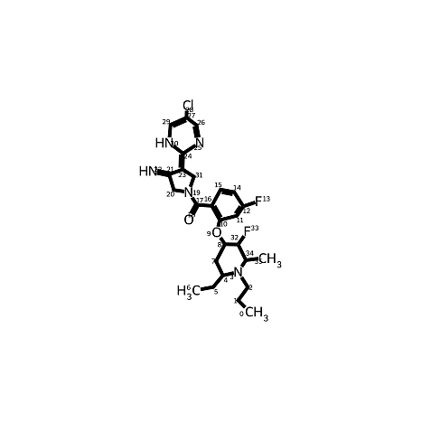 CCCN1C(CC)CC(Oc2cc(F)ccc2C(=O)N2CC(=N)/C(=C3/N=CC(Cl)=CN3)C2)C(F)C1C